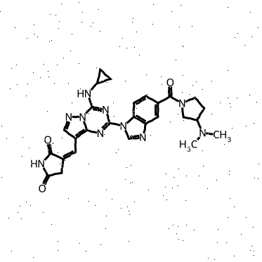 CN(C)C1CCN(C(=O)c2ccc3c(c2)ncn3-c2nc(NC3CC3)n3ncc(C=C4CC(=O)NC4=O)c3n2)C1